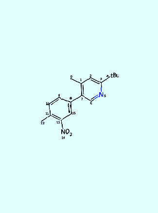 Cc1cc(C(C)(C)C)ncc1-c1ccc(C)c([N+](=O)[O-])c1